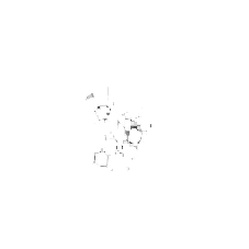 COc1ccc(Cn2c(C)c(C)c3ccnc(N4CCc5ccccc5C4C4CC4)c32)cc1.Cl